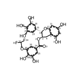 O=C(O[C@@H]1Cc2c(O)cc(O)cc2O[C@H]1c1cc(O)c(O)c(O)c1)c1cc(O)c(O)c(OC(F)F)c1